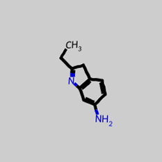 CCC1=Nc2cc(N)ccc2C1